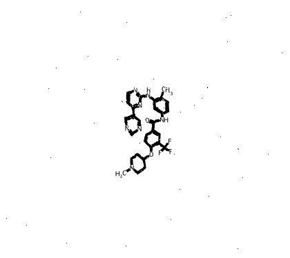 Cc1ccc(NC(=O)c2ccc(OC3CCN(C)CC3)c(C(F)(F)F)c2)cc1Nc1nccc(-c2cncnc2)n1